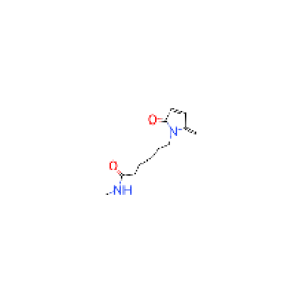 C=C1C=CC(=O)N1CCCCCC(=O)NC